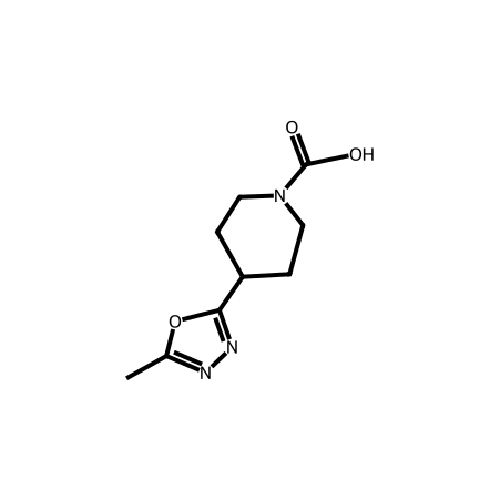 Cc1nnc(C2CCN(C(=O)O)CC2)o1